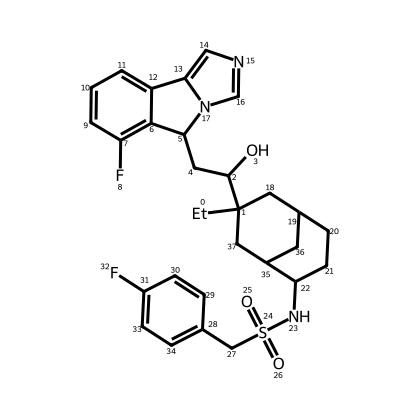 CCC1(C(O)CC2c3c(F)cccc3-c3cncn32)CC2CCC(NS(=O)(=O)Cc3ccc(F)cc3)C(C2)C1